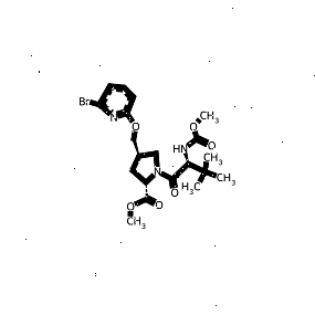 COC(=O)N[C@H](C(=O)N1C[C@H](COc2cccc(Br)n2)C[C@H]1C(=O)OC)C(C)(C)C